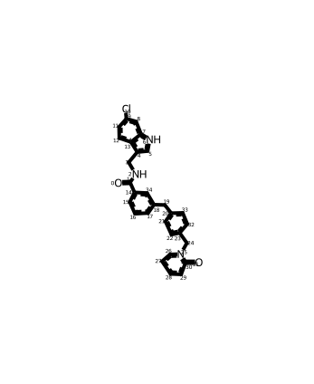 O=C(NCc1c[nH]c2cc(Cl)ccc12)c1cccc(Cc2ccc(Cn3ccccc3=O)cc2)c1